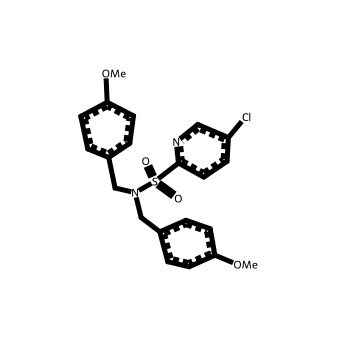 COc1ccc(CN(Cc2ccc(OC)cc2)S(=O)(=O)c2ccc(Cl)cn2)cc1